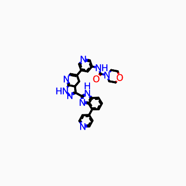 O=C(Nc1cncc(C2=CN=C3NN=C(c4nc5c(-c6ccncc6)cccc5[nH]4)C3C2)c1)N1CCOCC1